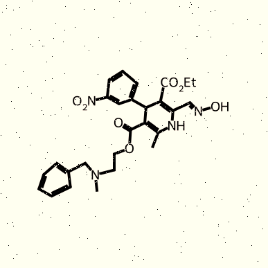 CCOC(=O)C1=C(C=NO)NC(C)=C(C(=O)OCCN(C)Cc2ccccc2)C1c1cccc([N+](=O)[O-])c1